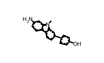 Cn1c2cc(N)ccc2c2ccc(-c3ccc(O)cc3)cc21